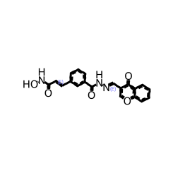 O=C(/C=C/c1cccc(C(=O)N/N=C/c2coc3ccccc3c2=O)c1)NO